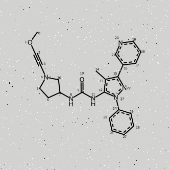 COC#CN1CCC(NC(=O)Nc2c(C)c(-c3cccnc3)nn2-c2ccccc2)C1